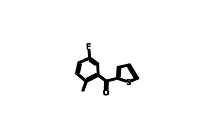 Cc1ccc(F)cc1C(=O)c1cccs1